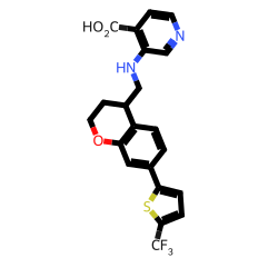 O=C(O)c1ccncc1NCC1CCOc2cc(-c3ccc(C(F)(F)F)s3)ccc21